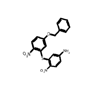 Nc1ccc([N+](=O)[O-])c(Sc2cc(OCc3ccccc3)ccc2[N+](=O)[O-])c1